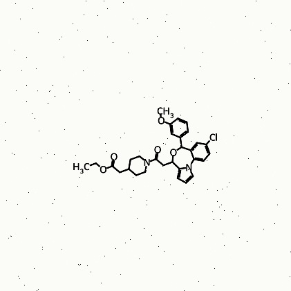 CCOC(=O)CC1CCN(C(=O)CC2OC(c3cccc(OC)c3)c3cc(Cl)ccc3-n3cccc32)CC1